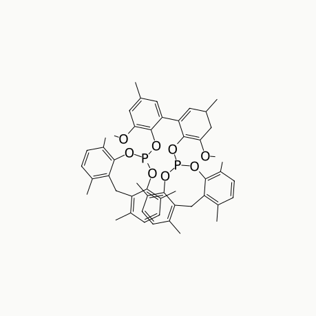 COC1=C(OP2Oc3c(C)ccc(C)c3Cc3c(C)ccc(C)c3O2)C(c2cc(C)cc(OC)c2OP2Oc3c(C)ccc(C)c3Cc3c(C)ccc(C)c3O2)=CC(C)C1